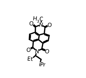 CCC(CC(C)C)N1C(=O)c2ccc3c4c(ccc(c24)C1=O)C(=O)N(C)C3=O